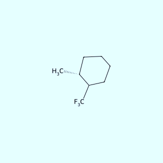 C[C@@H]1CCCCC1C(F)(F)F